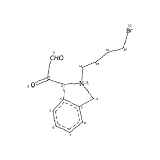 O=CC(=O)C1c2ccccc2CN1CCCCBr